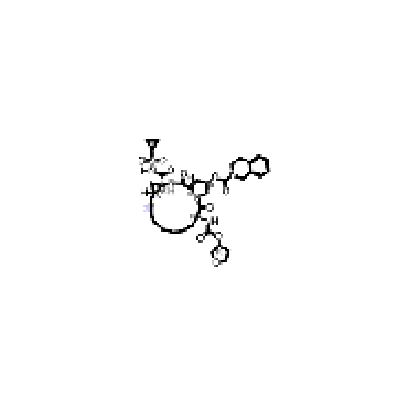 O=C(N[C@H]1CCCCC/C=C\[C@@H]2C[C@@]2(C(=O)NS(=O)(=O)C2CC2)NC(=O)[C@@H]2C[C@@H](OC(=O)N3CCc4ccccc4C3)CN2C1=O)O[C@H]1CCOC1